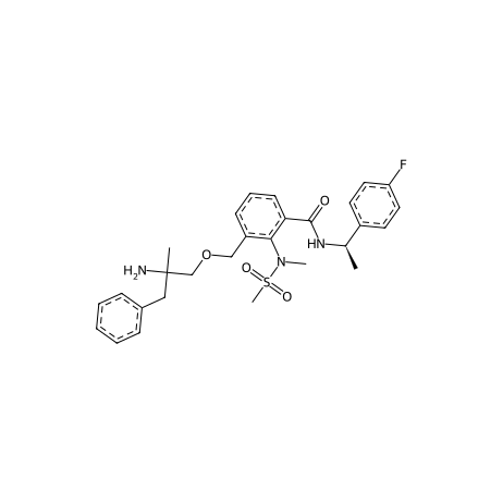 C[C@@H](NC(=O)c1cccc(COCC(C)(N)Cc2ccccc2)c1N(C)S(C)(=O)=O)c1ccc(F)cc1